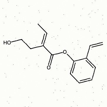 C=Cc1ccccc1OC(=O)C(=CC)CCO